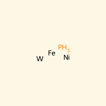 P.[Fe].[Ni].[W]